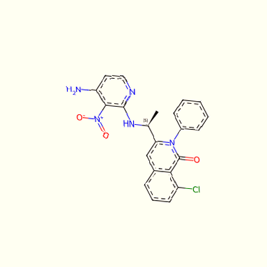 C[C@H](Nc1nccc(N)c1[N+](=O)[O-])c1cc2cccc(Cl)c2c(=O)n1-c1ccccc1